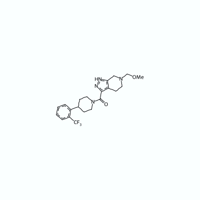 COCN1CCc2c(C(=O)N3CCC(c4ccccc4C(F)(F)F)CC3)n[nH]c2C1